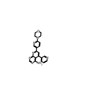 Nc1ncnc2nc(-c3ccc(N4CCOCC4)nc3)cc(-c3cccnc3)c12